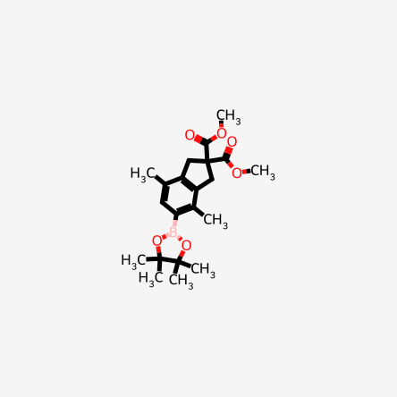 COC(=O)C1(C(=O)OC)Cc2c(C)cc(B3OC(C)(C)C(C)(C)O3)c(C)c2C1